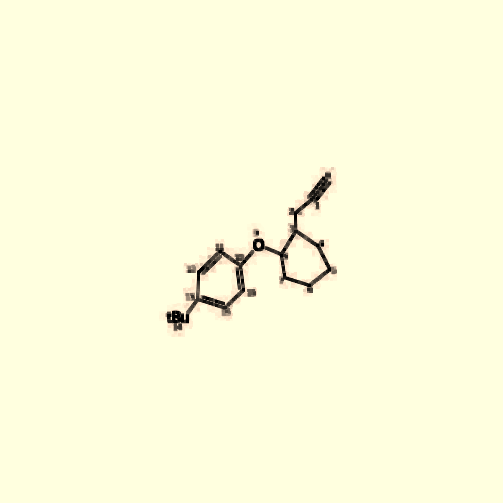 C#C[CH]C1CCCCC1Oc1ccc(C(C)(C)C)cc1